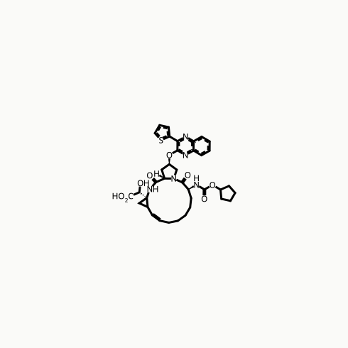 O=C(N[C@H]1CCCCC/C=C\C2C[C@@]2(C(O)C(=O)O)NC(=O)[C@@H]2C[C@@H](Oc3nc4ccccc4nc3-c3cccs3)CN2C1=O)OC1CCCC1